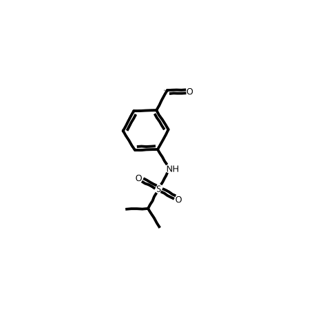 CC(C)S(=O)(=O)Nc1cccc([C]=O)c1